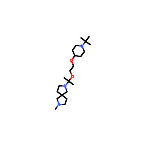 CN1CCC2(CCN(C(C)(C)OCCOC3CCN(C(C)(C)C)CC3)C2)C1